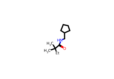 CCC(C)(C)C(=O)NCC1CCCC1